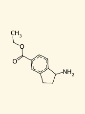 CCOC(=O)c1ccc2c(c1)CCC2N